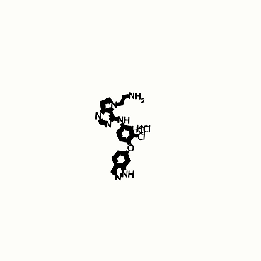 Cl.Cl.NCCn1ccc2ncnc(Nc3ccc(Oc4ccc5cn[nH]c5c4)c(Cl)c3)c21